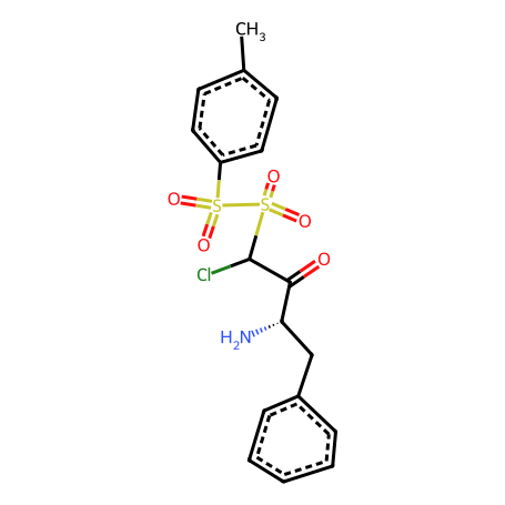 Cc1ccc(S(=O)(=O)S(=O)(=O)C(Cl)C(=O)[C@@H](N)Cc2ccccc2)cc1